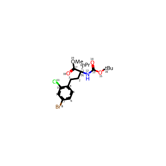 CCC[C@@](CCc1ccc(Br)cc1Cl)(NC(=O)OC(C)(C)C)C(=O)OC